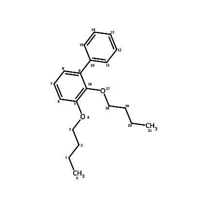 CCCCOc1cccc(-c2ccccc2)c1OCCCC